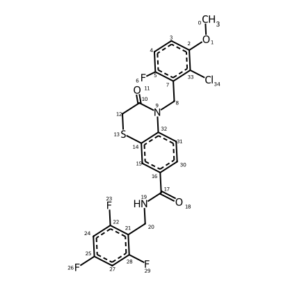 COc1ccc(F)c(CN2C(=O)CSc3cc(C(=O)NCc4c(F)cc(F)cc4F)ccc32)c1Cl